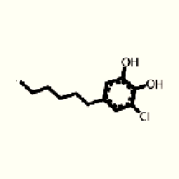 [CH2]CCCCCc1cc(O)c(O)c(Cl)c1